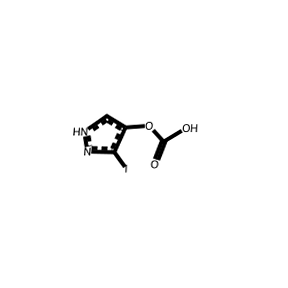 O=C(O)Oc1c[nH]nc1I